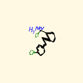 NN=C(Cl)C1C=CC=CC1=CCc1ccc(Cl)cc1